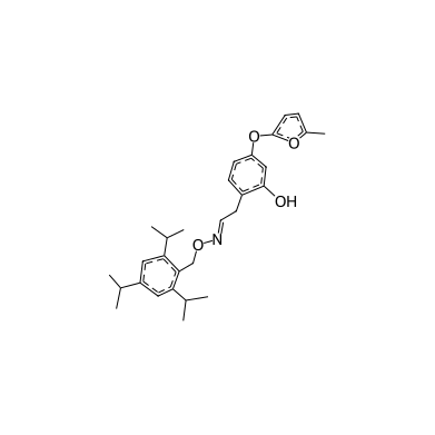 Cc1ccc(Oc2ccc(CC=NOCc3c(C(C)C)cc(C(C)C)cc3C(C)C)c(O)c2)o1